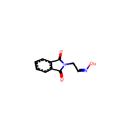 O=C1c2ccccc2C(=O)N1C/C=N\O